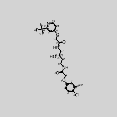 O=C(COc1ccc(Cl)c(F)c1)NCC[C@H](O)CNC(=O)COc1ccnc(C(F)(F)F)c1